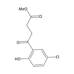 COC(=O)CCC(=O)c1cc(Cl)ccc1O